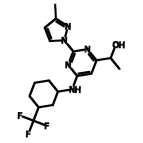 Cc1ccn(-c2nc(NC3CCCC(C(F)(F)F)C3)cc(C(C)O)n2)n1